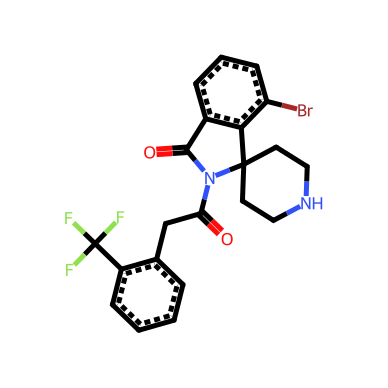 O=C(Cc1ccccc1C(F)(F)F)N1C(=O)c2cccc(Br)c2C12CCNCC2